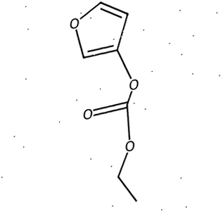 CCOC(=O)Oc1ccoc1